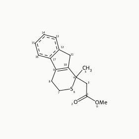 COC(=O)CC1(C)SCCC2=C1Cc1ccccc12